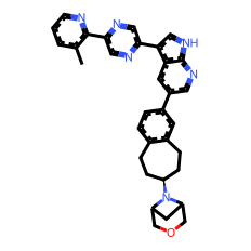 Cc1cccnc1-c1cnc(-c2c[nH]c3ncc(-c4ccc5c(c4)CC[C@@H](N4C6COCC4C6)CC5)cc23)cn1